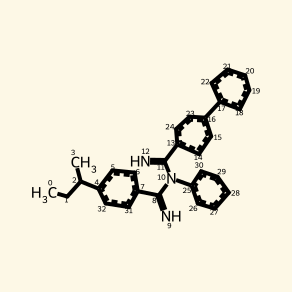 CCC(C)c1ccc(C(=N)N(C(=N)c2ccc(-c3ccccc3)cc2)c2ccccc2)cc1